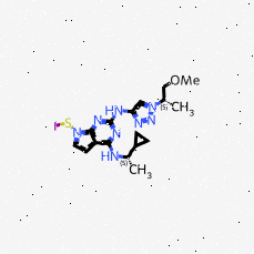 COC[C@H](C)n1cc(Nc2nc(N[C@@H](C)C3CC3)c3ccn(SI)c3n2)nn1